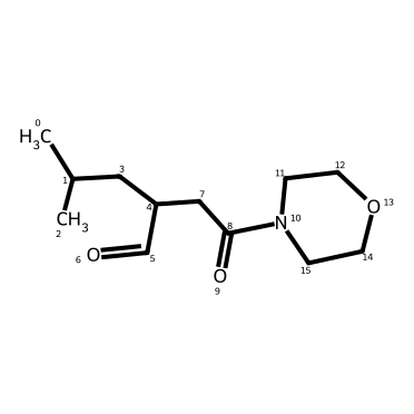 CC(C)CC(C=O)CC(=O)N1CCOCC1